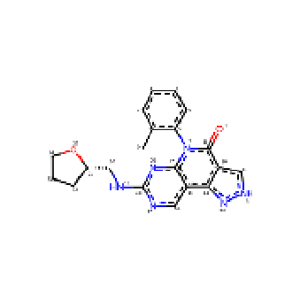 Cc1ccccc1-n1c(=O)c2c[nH]nc2c2cnc(NC[C@@H]3CCCO3)nc21